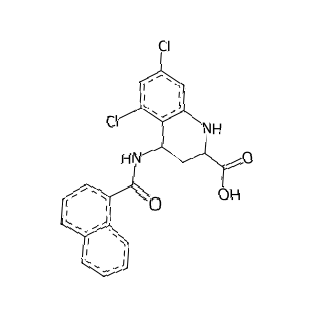 O=C(NC1CC(C(=O)O)Nc2cc(Cl)cc(Cl)c21)c1cccc2ccccc12